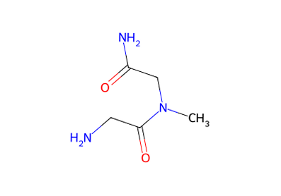 CN(CC(N)=O)C(=O)CN